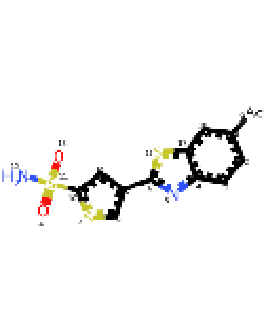 CC(=O)c1ccc2nc(-c3csc(S(N)(=O)=O)c3)sc2c1